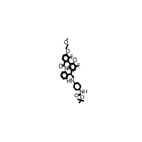 COCCOc1ccc(C(N)=O)c(-c2cc(C(CNC3CCC(NC(=O)OC(C)(C)C)CC3)c3ccccc3)cc(F)c2Cl)c1F